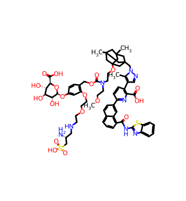 COCCN(CCOC12CC3(C)CC(C)(CC(Cn4ncc(-c5ccc(-c6ccc7cccc(C(=O)Nc8nc9ccccc9s8)c7c6)nc5C(=O)O)c4C)(C3)C1)C2)C(=O)OCc1ccc(O[C@@H]2O[C@H](C(=O)O)[C@@H](O)[C@H](O)[C@H]2O)cc1OCCOCCNC[C@@H](N)CS(=O)(=O)O